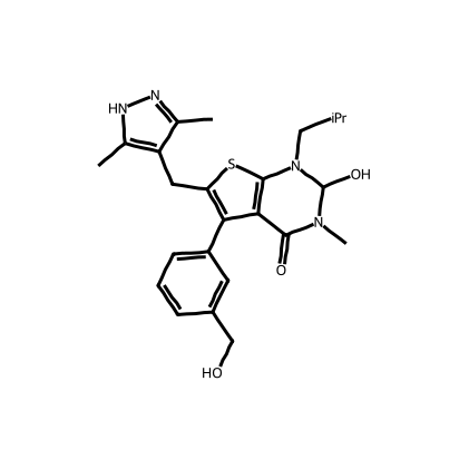 Cc1n[nH]c(C)c1Cc1sc2c(c1-c1cccc(CO)c1)C(=O)N(C)C(O)N2CC(C)C